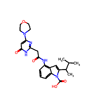 CC(C)C(C)c1cc2c(NC(=O)Cc3nc(N4CCOCC4)cc(=O)[nH]3)cccc2n1C(=O)O